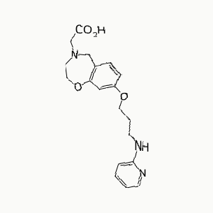 O=C(O)CN1CCOc2cc(OCCCNc3ccccn3)ccc2C1